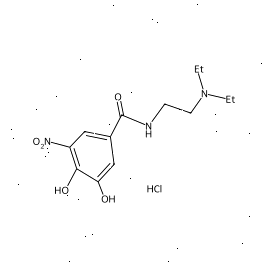 CCN(CC)CCNC(=O)c1cc(O)c(O)c([N+](=O)[O-])c1.Cl